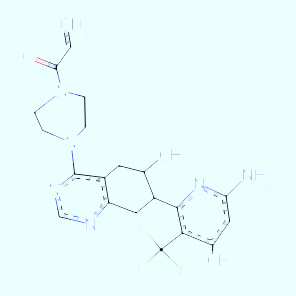 C=CC(=O)N1CCN(c2ncnc3c2CC(C)C(c2nc(N)cc(C)c2C(F)(F)F)C3)CC1